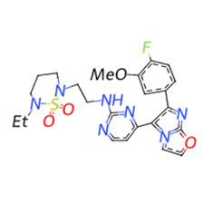 CCN1CCCN(CCNc2nccc(-c3c(-c4ccc(F)c(OC)c4)nc4occn34)n2)S1(=O)=O